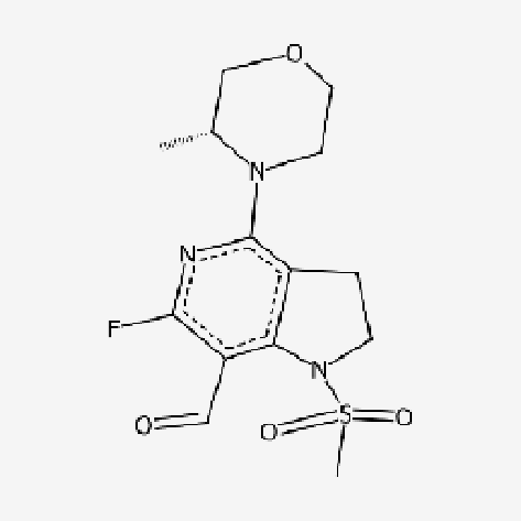 C[C@@H]1COCCN1c1nc(F)c(C=O)c2c1CCN2S(C)(=O)=O